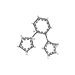 [c]1nn[nH]c1-c1ccccc1-n1cncn1